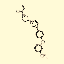 C=CC(=O)N1CCC(N2C=CN(c3ccc(Oc4cccc(C(F)(F)F)c4)cc3)C2)C1